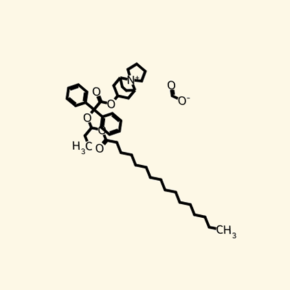 CCCCCCCCCCCCCCCC(=O)OC(CC)OC(C(=O)OC1CC2CCC(C1)[N+]21CCCC1)(c1ccccc1)c1ccccc1.O=C[O-]